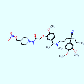 CCCC(C#N)(CCCN(C)C(C)c1ccc(OC)c(OCC(=O)NN2CCC(CO[N+](=O)[O-])CC2)c1)c1ccc(OC)c(OC)c1